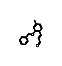 Cc1ccc(C=CC=O)c(OCc2ccccc2)c1